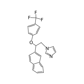 FC(F)(F)c1ccc(OC(Cn2ccnc2)c2ccc3ccccc3c2)cc1